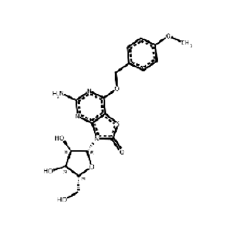 COc1ccc(COc2nc(N)nc3c2sc(=O)n3[C@@H]2O[C@H](CO)[C@@H](O)[C@H]2O)cc1